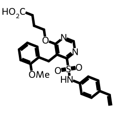 C=Cc1ccc(NS(=O)(=O)c2ncnc(OCCCC(=O)O)c2Cc2ccccc2OC)cc1